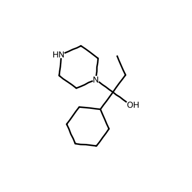 CCC(O)(C1CCCCC1)N1CCNCC1